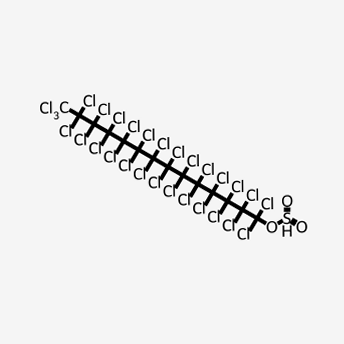 O=[SH](=O)OC(Cl)(Cl)C(Cl)(Cl)C(Cl)(Cl)C(Cl)(Cl)C(Cl)(Cl)C(Cl)(Cl)C(Cl)(Cl)C(Cl)(Cl)C(Cl)(Cl)C(Cl)(Cl)C(Cl)(Cl)C(Cl)(Cl)C(Cl)(Cl)C(Cl)(Cl)Cl